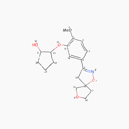 COc1ccc(C2=NOC3(CCOC3)C2)cc1OC1CCCC1O